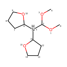 COC(OC)[SiH](C1CCCO1)C1CCCO1